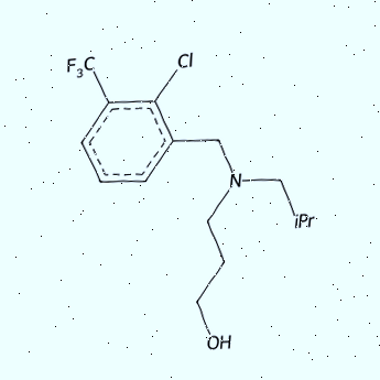 CC(C)CN(CCCO)Cc1cccc(C(F)(F)F)c1Cl